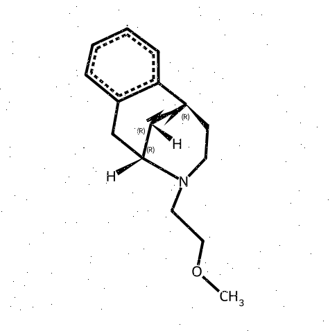 COCCN1CC[C@]23CCCC[C@H]2[C@H]1Cc1cc[c]cc13